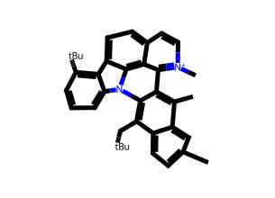 Cc1ccc2c(CC(C)(C)C)c3c(c(C)c2c1)c1c2c(ccc4c5c(C(C)(C)C)cccc5n3c42)cc[n+]1C